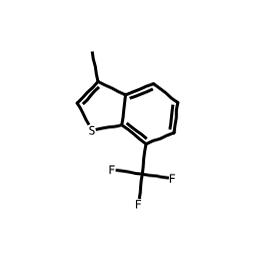 Cc1csc2c(C(F)(F)F)cccc12